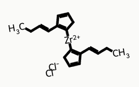 CC/C=C/C1=[C]([Zr+2][C]2=C(/C=C/CC)C=CC2)CC=C1.[Cl-].[Cl-]